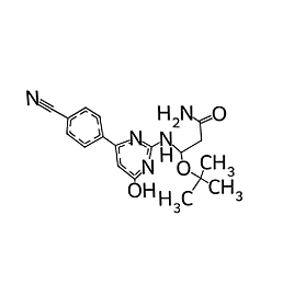 CC(C)(C)OC(CC(N)=O)Nc1nc(O)cc(-c2ccc(C#N)cc2)n1